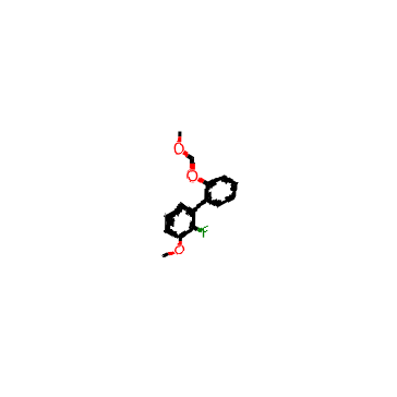 COCOc1ccccc1-c1cccc(OC)c1F